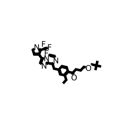 CCc1cc(Cc2nccn3c(C4=CCN=C4C(F)(F)F)cnc23)ccc1C(=O)CCCOCC(C)(C)C